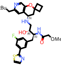 COCC(=O)N[C@@H](Cc1cc(F)cc(-c2nccs2)c1)[C@H](O)CN[C@H]1CC2(CCC2)Oc2cnc(CC(C)(C)C)cc21